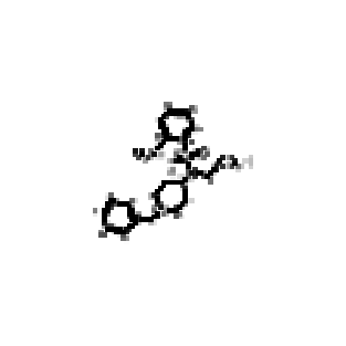 O=C(O)CN(C1CCN(Cc2ccccc2)CC1)S(=O)(=O)c1ccccc1[N+](=O)[O-]